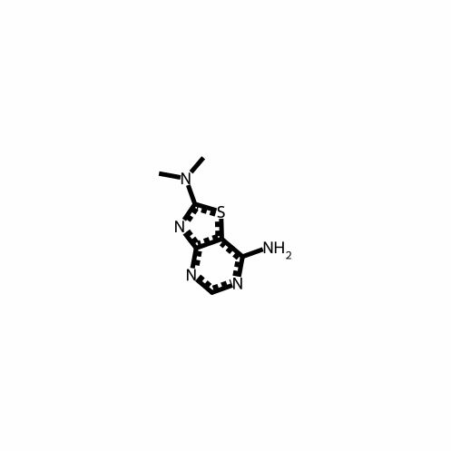 CN(C)c1nc2ncnc(N)c2s1